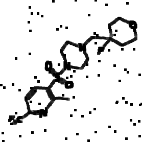 Cc1nc(C(F)(F)F)ccc1S(=O)(=O)N1CCN(CC2(F)CCOCC2)CC1